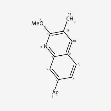 COc1nc2cc(C(C)=O)ccc2cc1C